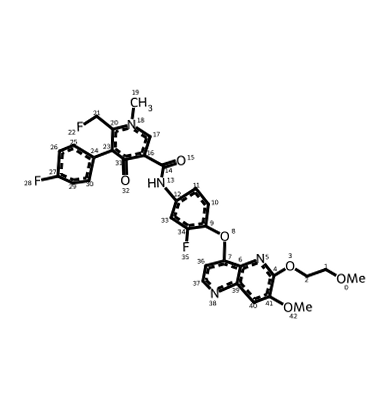 COCCOc1nc2c(Oc3ccc(NC(=O)c4cn(C)c(CF)c(-c5ccc(F)cc5)c4=O)cc3F)ccnc2cc1OC